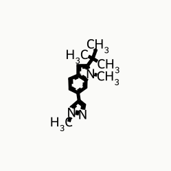 CCC(C)(C)c1cc2ccc(-c3cnn(C)c3)cc2n1C